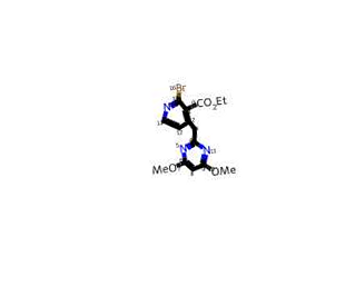 CCOC(=O)c1c(Cc2nc(OC)cc(OC)n2)ccnc1Br